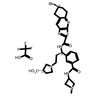 CN1CC(NC(=O)c2cccc([C@@H](CCN3CC[C@H](C(=O)O)C3)NC(=O)c3nc4cc5c(nc4s3)CC[C@H](C(C)(C)C)C5)c2)C1.O=C(O)C(F)(F)F